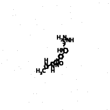 C[C@H]1C=C(c2cc3cn(-c4ccc([C@@H]5CCC[C@@H](CCSC(=N)N)N5)cc4)c(=O)nc3[nH]2)NC1